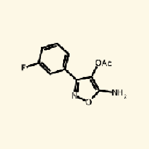 CC(=O)Oc1c(-c2cccc(F)c2)noc1N